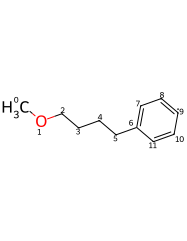 COCCCCc1cc[c]cc1